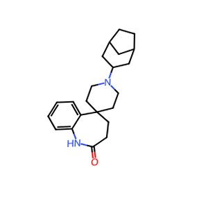 O=C1CCC2(CCN(C3CC4CCC(C4)C3)CC2)c2ccccc2N1